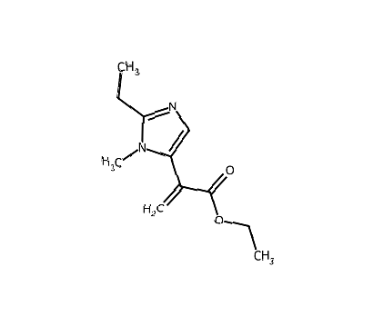 C=C(C(=O)OCC)c1cnc(CC)n1C